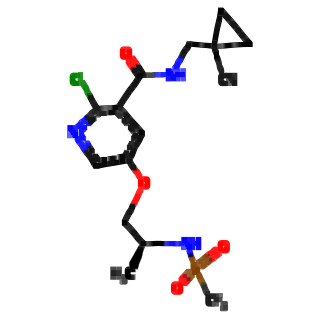 C[C@@H](COc1cnc(Cl)c(C(=O)NCC2(C#N)CC2)c1)NS(=O)(=O)C(F)(F)F